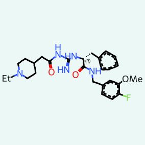 CCN1CCC(CC(=O)NC(=N)N[C@H](Cc2ccccc2)C(=O)NCc2ccc(F)c(OC)c2)CC1